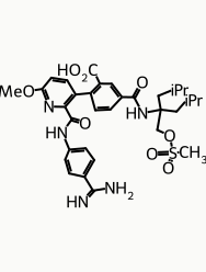 COc1ccc(-c2ccc(C(=O)NC(COS(C)(=O)=O)(CC(C)C)CC(C)C)cc2C(=O)O)c(C(=O)Nc2ccc(C(=N)N)cc2)n1